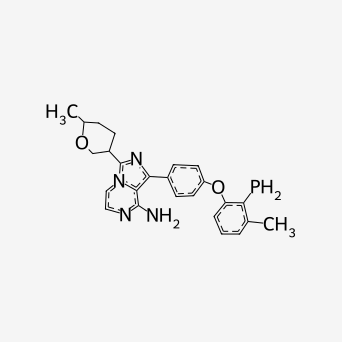 Cc1cccc(Oc2ccc(-c3nc(C4CCC(C)OC4)n4ccnc(N)c34)cc2)c1P